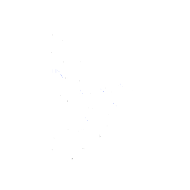 CC(=O)Nc1nc(N2CC[C@@H](NC(=O)OC(C)(C)C)C2)c2nc(-c3ccc(F)cc3)ccc2n1